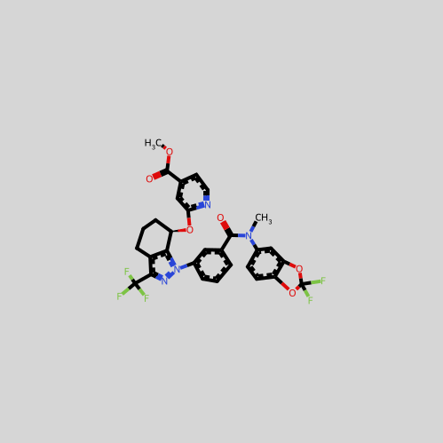 COC(=O)c1ccnc(O[C@@H]2CCCc3c(C(F)(F)F)nn(-c4cccc(C(=O)N(C)c5ccc6c(c5)OC(F)(F)O6)c4)c32)c1